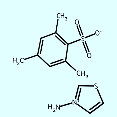 Cc1cc(C)c(S(=O)(=O)[O-])c(C)c1.N[n+]1ccsc1